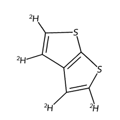 [2H]c1sc2sc([2H])c([2H])c2c1[2H]